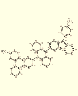 Cc1ccc2c(c1)c1ccccc1c1ccc(-c3c4ccccc4c(-c4ccc5c(c4)c4ccccc4n5C4=CC[C@@H](C)C=C4)c4ccccc34)cc12